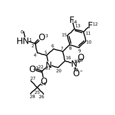 CNC(=O)CC1CC(c2ccc(F)c(F)c2)C([N+](=O)[O-])CN1C(=O)OC(C)(C)C